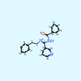 O=C(N/C(=N/CCc1ccccc1)c1cccnc1)c1ccccc1